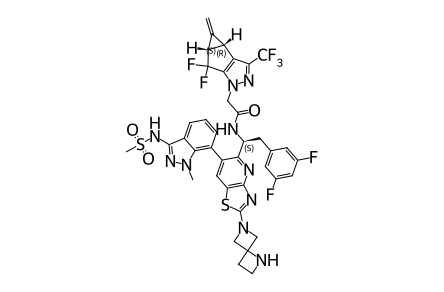 C=C1[C@@H]2c3c(C(F)(F)F)nn(CC(=O)N[C@@H](Cc4cc(F)cc(F)c4)c4nc5nc(N6CC7(CCN7)C6)sc5cc4-c4cccc5c(NS(C)(=O)=O)nn(C)c45)c3C(F)(F)[C@H]12